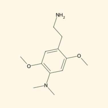 COc1cc(N(C)C)c(OC)cc1CCN